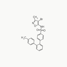 Cc1ccc(-c2ccccc2-c2ccc(S(=O)(=O)Nc3onc(C)c3Br)cc2)cc1